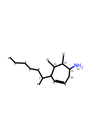 CCCCCC(C)C1C=CCC(N)C(C)C1C